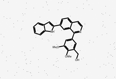 COc1cc(-c2nccc3ccc(-c4cc5ccccc5[nH]4)cc23)cc(CO)c1OC